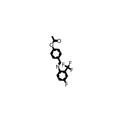 CC(=O)Oc1ccc(/C=N/c2ccc(F)cc2C(F)(F)F)cc1